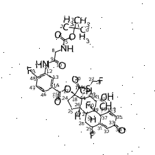 CC(C)(C)OC(=O)NCC(=O)Nc1cc(C(=O)O[C@]2(C(=O)SCF)CC[C@H]3[C@@H]4C[C@H](F)C5=CC(=O)C=C[C@]5(C)[C@@]4(F)[C@@H](O)C[C@@]32C)ccc1F